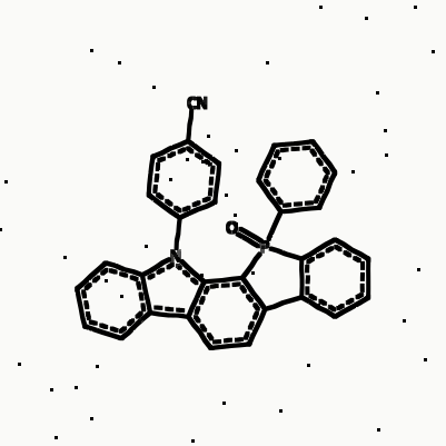 N#Cc1ccc(-n2c3ccccc3c3ccc4c(c32)P(=O)(c2ccccc2)c2ccccc2-4)cc1